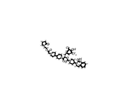 O=C(CN1CCC(C2CCN(C(=O)[C@@H](Cc3cc(Cl)c(O)c(C(F)(F)F)c3)OC(=O)N3CCC(N4CCc5ccccc5NC4=O)CC3)CC2)CC1)OCCN1CCCC1=O